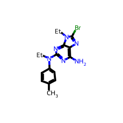 CCN(c1ccc(C)cc1)c1nc(N)c2nc(Br)n(CC)c2n1